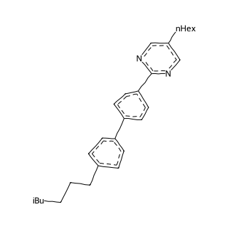 CCCCCCc1cnc(-c2ccc(-c3ccc(CCCC(C)CC)cc3)cc2)nc1